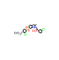 CCOC(=O)c1ccc(S(=O)(=O)c2ccc(C[C@@H](C)NC[C@H](O)c3cccc(Cl)c3)cc2)cc1Cl